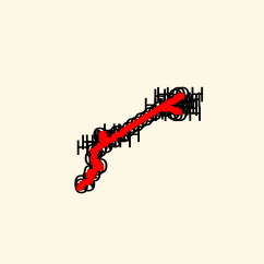 COc1cc2c(c(F)c1OCCCOc1c(OC)cc3c(c1F)CN(C(=O)CCC(=O)OC(C)(C)C)C3)CN(C(=O)CCC(=O)O[C@@H](C)CNC(=O)CC[C@H](NC(=O)CN1C(=O)C=CC1=O)C(=O)NCC(=O)NCC(=O)NCC(=O)NCC(=O)NCCOCCOCCOCCOCCOCCOCCOCCOCCC(=O)N[C@@H](CCC(=O)NC[C@H](O)[C@@H](O)[C@H](O)[C@H](O)CO)C(=O)NC[C@H](O)[C@@H](O)[C@H](O)[C@H](O)CO)C2